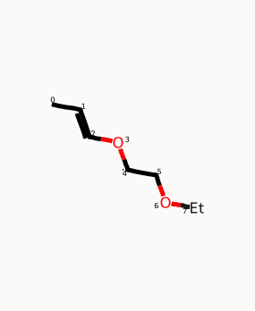 CC=CO[CH]COCC